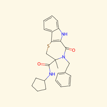 CC1(C(=O)NC2CCCC2)CSc2c([nH]c3ccccc23)C(=O)N1Cc1ccccc1